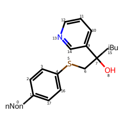 CCCCCCCCCc1ccc(SCC(O)(c2cccnc2)C(C)CC)cc1